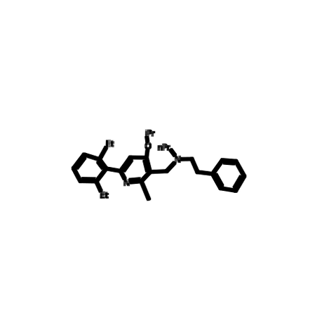 CCCN(CCc1ccccc1)Cc1c(OC(C)C)cc(-c2c(CC)cccc2CC)nc1C